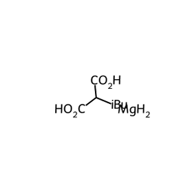 CCC(C)C(C(=O)O)C(=O)O.[MgH2]